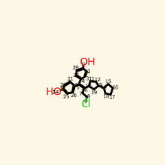 Oc1ccc(C(=C(CCCl)C2CCC(C3CCCC3)C2)c2ccc(O)cc2)cc1